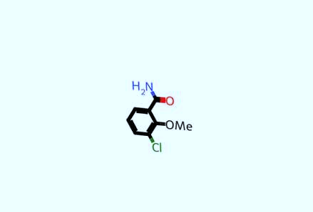 COc1c(Cl)cccc1C(N)=O